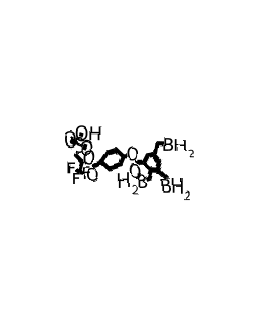 BCc1cc(CB)c(CB)c(C(=O)OC2C=CC(C(=O)OC(CS(=O)(=O)O)C(F)(F)F)CC2)c1